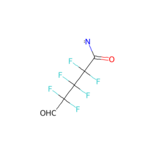 [N]C(=O)C(F)(F)C(F)(F)C(F)(F)C=O